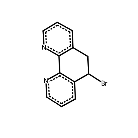 BrC1Cc2cccnc2-c2ncccc21